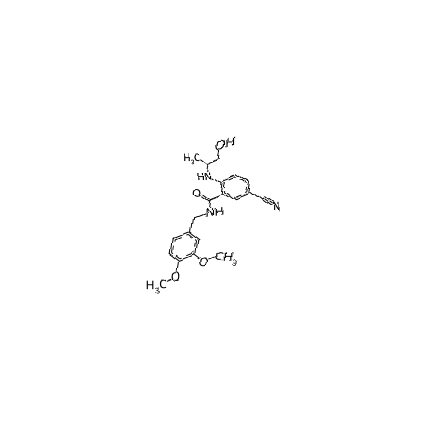 COc1ccc(CNC(=O)c2cc(C#N)ccc2NC(C)CO)cc1OC